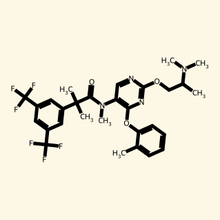 Cc1ccccc1Oc1nc(OCC(C)N(C)C)ncc1N(C)C(=O)C(C)(C)c1cc(C(F)(F)F)cc(C(F)(F)F)c1